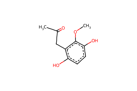 COc1c(O)ccc(O)c1CC(C)=O